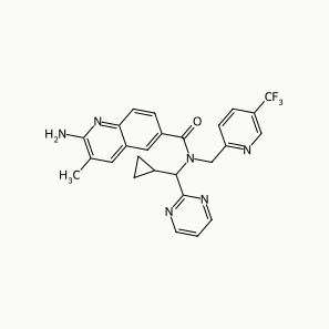 Cc1cc2cc(C(=O)N(Cc3ccc(C(F)(F)F)cn3)C(c3ncccn3)C3CC3)ccc2nc1N